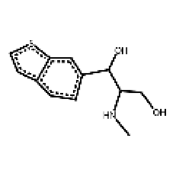 CNC(CO)C(O)c1ccc2ccsc2c1